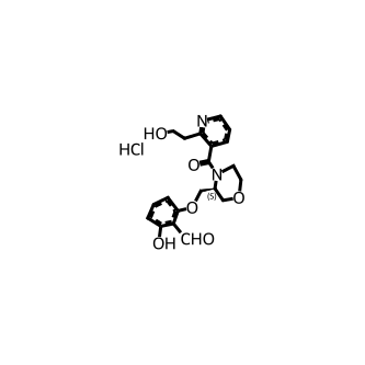 Cl.O=Cc1c(O)cccc1OC[C@@H]1COCCN1C(=O)c1cccnc1CCO